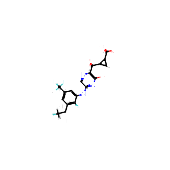 COc1nc(Nc2cc(C(F)(F)F)cc(CC(C)(C)F)c2F)cnc1C(=O)C1CC1C(=O)O